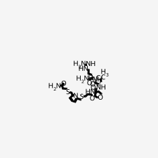 CC(C)C[C@H](NC(=O)C1(NC(=O)CCSCc2cccc(CSCCC(N)=O)n2)CCOCC1)C(=O)N[C@@H](CCCNC(=N)N)C(N)=O